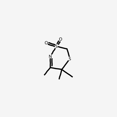 CC1=NS(=O)(=O)CSC1(C)C